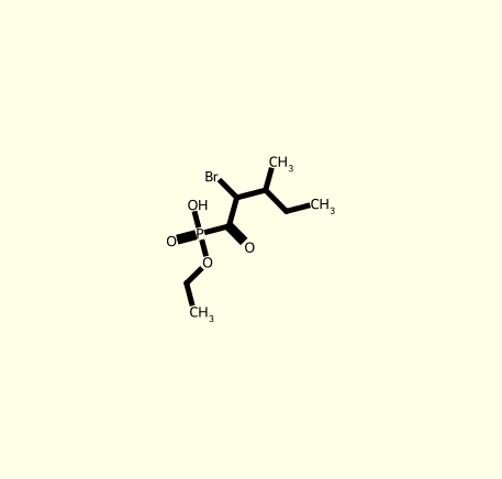 CCOP(=O)(O)C(=O)C(Br)C(C)CC